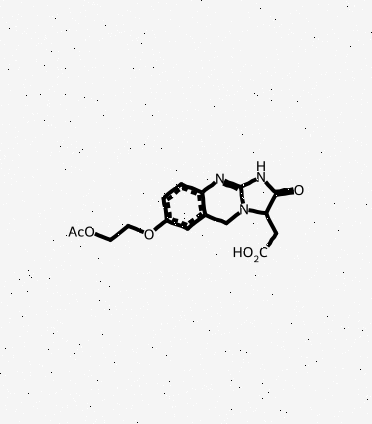 CC(=O)OCCOc1ccc2c(c1)CN1C(=N2)NC(=O)C1CC(=O)O